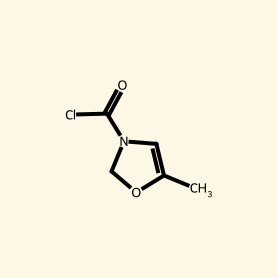 CC1=CN(C(=O)Cl)CO1